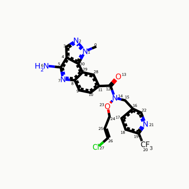 Cn1ncc2c(N)nc3ccc(C(=O)N(Cc4ccc(C(F)(F)F)nc4)OCC=CCl)cc3c21